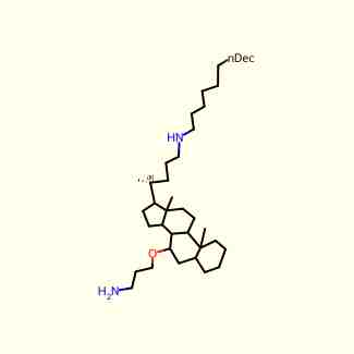 CCCCCCCCCCCCCCCCNCCC[C@@H](C)C1CCC2C3C(OCCCN)CC4CCCCC4(C)C3CCC21C